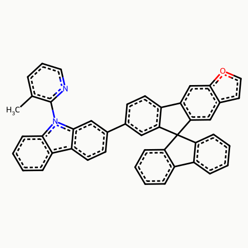 Cc1cccnc1-n1c2ccccc2c2ccc(-c3ccc4c(c3)C3(c5ccccc5-c5ccccc53)c3cc5ccoc5cc3-4)cc21